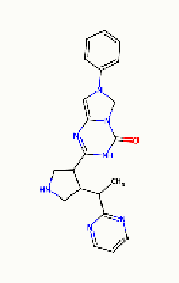 CC(c1ncccn1)C1CNCC1C1=NC2=CN(c3ccccc3)CN2C(=O)N1